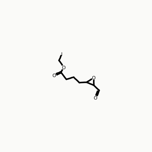 O=CC1OC1CCCC(=O)OCI